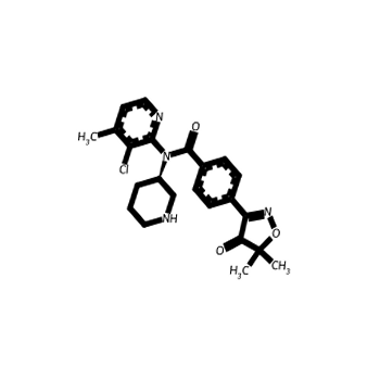 Cc1ccnc(N(C(=O)c2ccc(C3=NOC(C)(C)C3=O)cc2)[C@@H]2CCCNC2)c1Cl